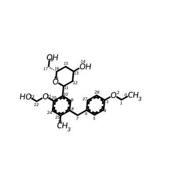 CCOc1ccc(Cc2cc(C3CC(O)C[C@@H](CO)O3)c(OCO)cc2C)cc1